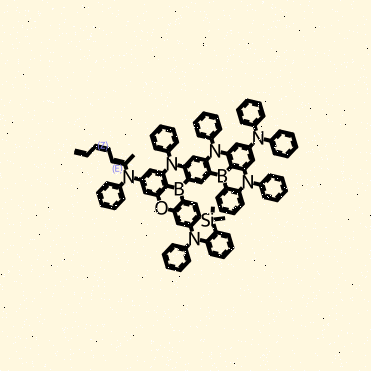 C=C/C=C\C=C(/C)N(c1ccccc1)c1cc2c3c(c1)N(c1ccccc1)c1cc4c(cc1B3c1cc3c(cc1O2)N(c1ccccc1)c1ccccc1[Si]3(C)C)B1c2ccccc2N(c2ccccc2)c2cc(N(c3ccccc3)c3ccccc3)cc(c21)N4c1ccccc1